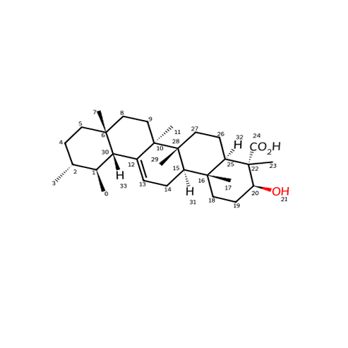 C[C@H]1[C@H](C)CC[C@]2(C)CC[C@]3(C)C(=CC[C@@H]4[C@@]5(C)CC[C@H](O)[C@@](C)(C(=O)O)[C@@H]5CC[C@]43C)[C@H]12